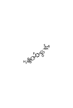 NS(=O)(=O)N1CCN(c2ccc(N3C[C@H](CNC(=S)C4CC4)OC3=O)cc2F)CC1